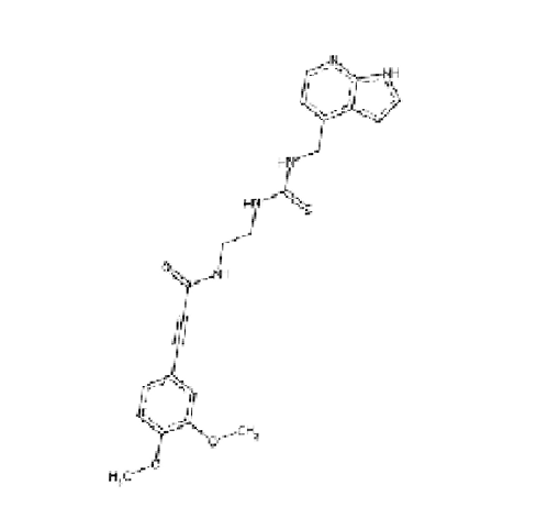 COc1ccc(C#CC(=O)NCCNC(=S)NCc2ccnc3[nH]ccc23)cc1OC